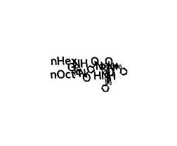 CCCCCCCC[C@@H]1CN(C(=O)c2ccc(C(=O)N3C[C@@H](C(=O)N[C@H]4C[C@@H]4c4ccccc4)[C@H](C(=O)N[C@H]4C[C@@H]4c4ccccc4)C3)cc2)C[C@H]1C(=O)NCCCCCC